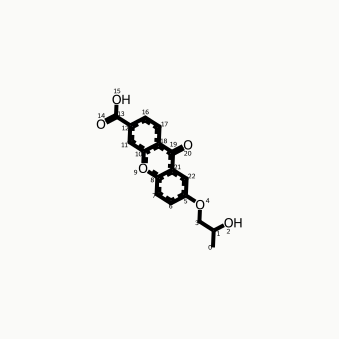 CC(O)COc1ccc2oc3cc(C(=O)O)ccc3c(=O)c2c1